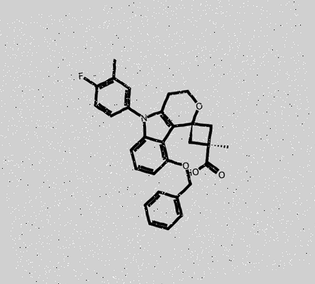 Cc1cc(-n2c3c(c4c(OCc5ccccc5)cccc42)[C@]2(C[C@](C)(C(=O)O)C2)OCC3)ccc1F